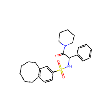 O=C(C(NS(=O)(=O)c1ccc2c(c1)CCCCCC2)c1ccccc1)N1CCCCC1